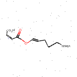 CCCCCCCCCCC=COC(=O)/C=C\C(=O)O